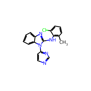 Cc1cccc(Cl)c1Nc1nc2ccccc2n1-c1ccncn1